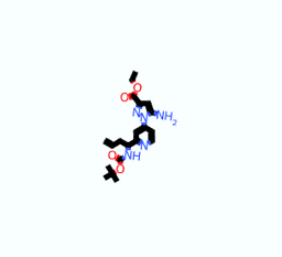 C=CCC(NC(=O)OC(C)(C)C)c1cc(-n2nc(C(=O)OCC)cc2N)ccn1